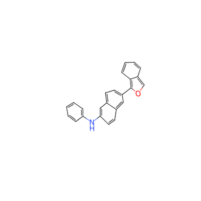 c1ccc(Nc2ccc3cc(-c4occ5ccccc45)ccc3c2)cc1